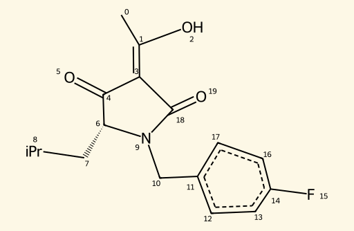 C/C(O)=C1\C(=O)[C@@H](CC(C)C)N(Cc2ccc(F)cc2)C1=O